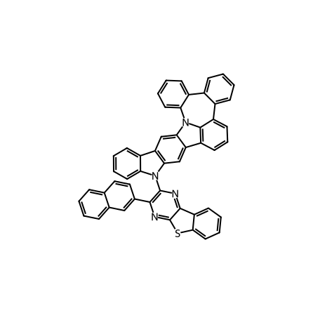 c1ccc2c(c1)-c1ccccc1-n1c3cc4c5ccccc5n(-c5nc6c(nc5-c5ccc7ccccc7c5)sc5ccccc56)c4cc3c3cccc-2c31